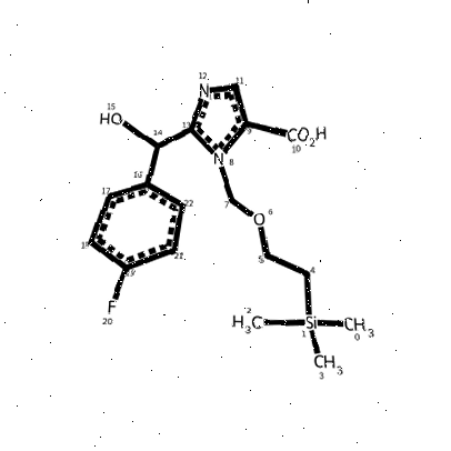 C[Si](C)(C)CCOCn1c(C(=O)O)cnc1C(O)c1ccc(F)cc1